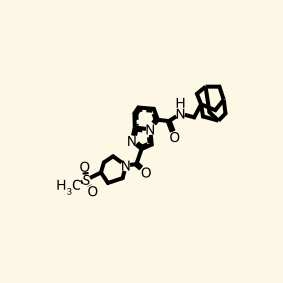 CS(=O)(=O)C1CCN(C(=O)c2cn3c(C(=O)NCC45CC6CC(CC(C6)C4)C5)cccc3n2)CC1